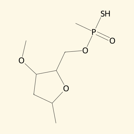 COC1CC(C)OC1COP(C)(=O)S